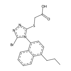 CCCc1ccc(-n2c(Br)nnc2SCC(=O)O)c2ccccc12